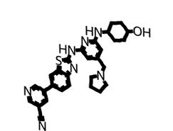 N#Cc1cncc(-c2ccc3nc(Nc4cc(CN5CCCC5)cc(NC5CCC(O)CC5)n4)sc3c2)c1